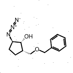 [N-]=[N+]=N[C@@H]1CC[C@@H](COCc2ccccc2)[C@H]1O